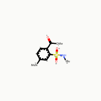 CNc1ccc(C(=O)OC)c(S(=O)(=O)NC(C)(C)C)c1